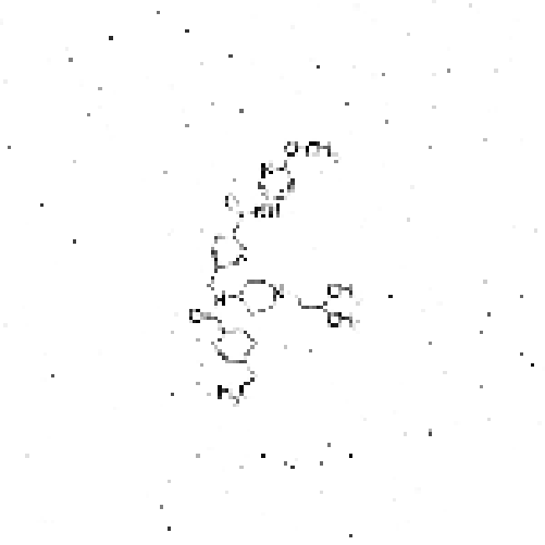 C=Cc1ccc(C(=O)N(Cc2ccc(C(=O)Nc3ccc(OC)nc3)cc2)C2CCN(CCC(C)C)CC2)cc1